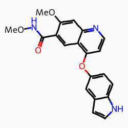 CONC(=O)c1cc2c(Oc3ccc4[nH]ccc4c3)ccnc2cc1OC